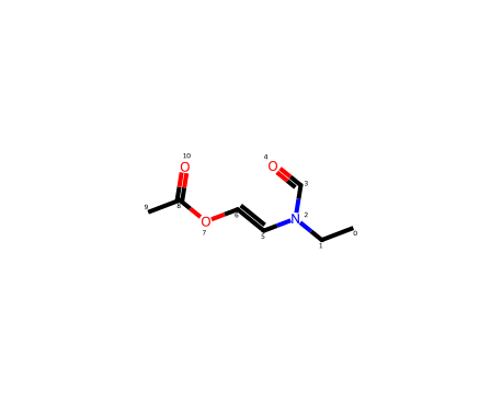 CCN(C=O)C=COC(C)=O